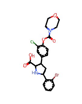 O=C(O)C1NC(c2ccccc2Br)CC1c1ccc(OC(=O)N2CCOCC2)c(Cl)c1